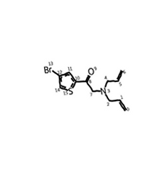 C=CCN(CC=C)CC(=O)c1cc(Br)cs1